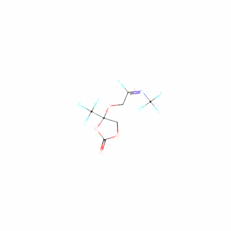 O=C1OCC(OC/C(F)=N\C(F)(F)F)(C(F)(F)F)O1